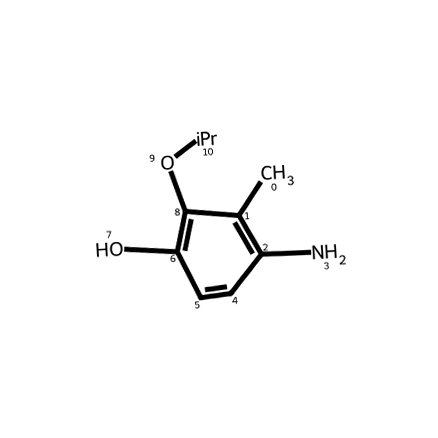 Cc1c(N)ccc(O)c1OC(C)C